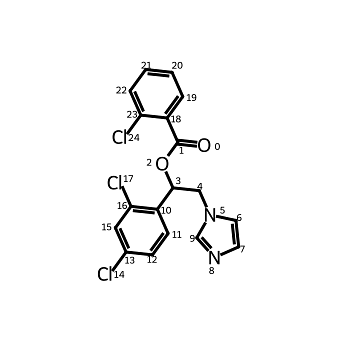 O=C(OC(Cn1ccnc1)c1ccc(Cl)cc1Cl)c1ccccc1Cl